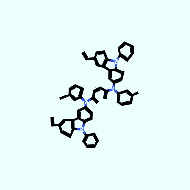 C=Cc1ccc2c(c1)c1cc(N(C(=C)/C=C\C(=C)N(c3cccc(C)c3)c3ccc4c(c3)c3cc(C=C)ccc3n4-c3ccccc3)c3cccc(C)c3)ccc1n2-c1ccccc1